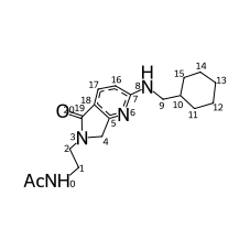 CC(=O)NCCN1Cc2nc(NCC3CCCCC3)ccc2C1=O